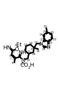 CCOC(=N)/C=C(/C)C(=N)N(CC1CCCC(C)(Cn2cnc3ccc(C)cc32)C1)C(=O)O